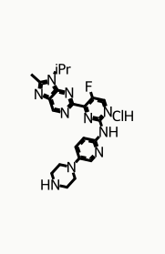 Cc1nc2cnc(-c3nc(Nc4ccc(N5CCNCC5)cn4)ncc3F)nc2n1C(C)C.Cl